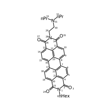 CCCCCCN1C(=O)c2ccc3c4ccc5c6c(ccc(c7ccc(c2c37)C1=O)c64)C(=O)N(CCN(CCC)CCC)C5=O